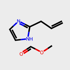 C=CCc1ncc[nH]1.COC=O